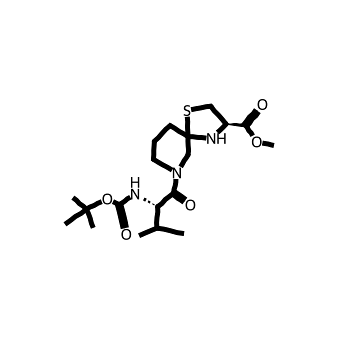 COC(=O)[C@@H]1CSC2(CCCN(C(=O)[C@@H](NC(=O)OC(C)(C)C)C(C)C)C2)N1